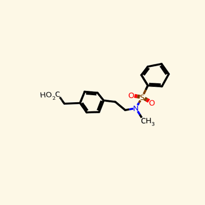 CN(CCc1ccc(CC(=O)O)cc1)S(=O)(=O)c1ccccc1